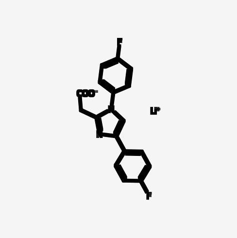 O=C([O-])Cc1nc(-c2ccc(F)cc2)cn1-c1ccc(F)cc1.[Li+]